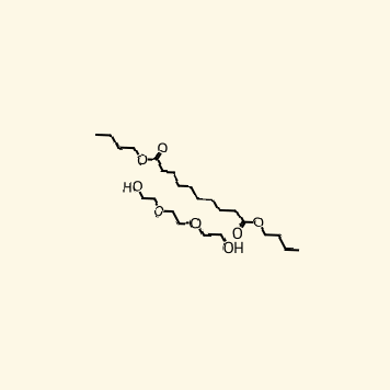 CCCCOC(=O)CCCCCCCCC(=O)OCCCC.OCCOCCOCCO